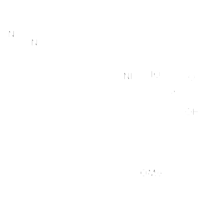 COc1ccc(NC2=CCC(=[N+]=[N-])C=C2)c(P(=O)(O)O)c1